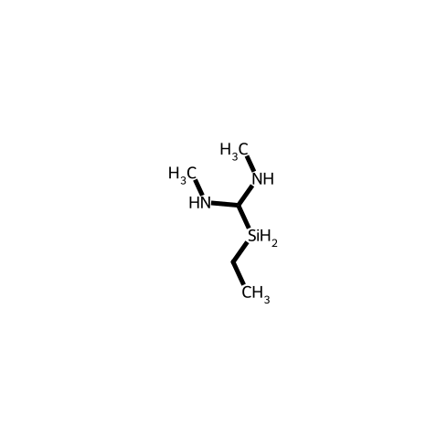 CC[SiH2]C(NC)NC